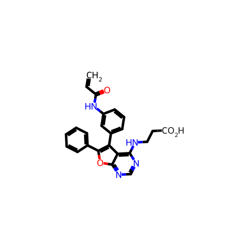 C=CC(=O)Nc1cccc(-c2c(-c3ccccc3)oc3ncnc(NCCC(=O)O)c23)c1